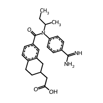 CCC(C)N(C(=O)c1ccc2c(c1)CC(CC(=O)O)CC2)c1ccc(C(=N)N)cc1